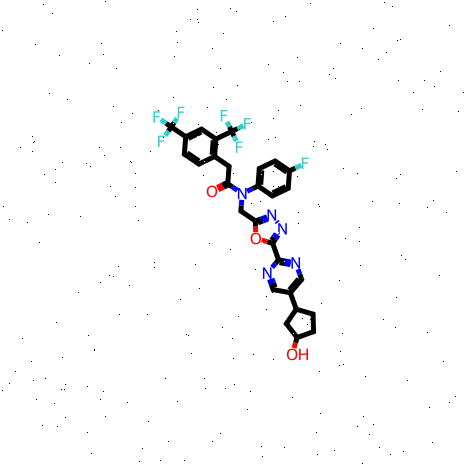 O=C(Cc1ccc(C(F)(F)F)cc1C(F)(F)F)N(Cc1nnc(-c2ncc(C3CCC(O)C3)cn2)o1)c1ccc(F)cc1